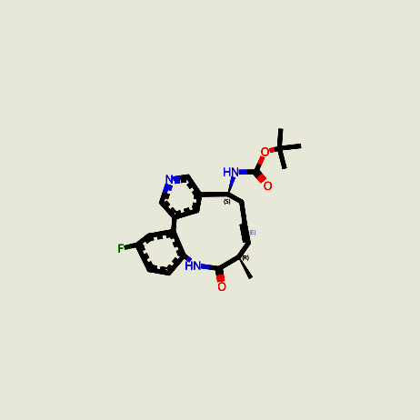 C[C@@H]1/C=C/C[C@H](NC(=O)OC(C)(C)C)c2cncc(c2)-c2cc(F)ccc2NC1=O